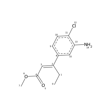 CC/C(=C\C(=O)OC)c1ccc(Cl)c(N)c1